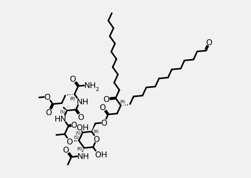 CCCCCCCCCCCC(=O)[C@H](CCCCCCCCCCCCC=O)CC(=O)OC[C@H]1OC(O)[C@H](NC(C)=O)[C@H](OC(C)C(=O)N[C@@H](C)C(=O)N[C@H](CCC(=O)OC)C(N)=O)[C@@H]1O